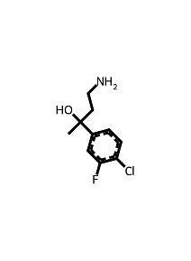 CC(O)(CCN)c1ccc(Cl)c(F)c1